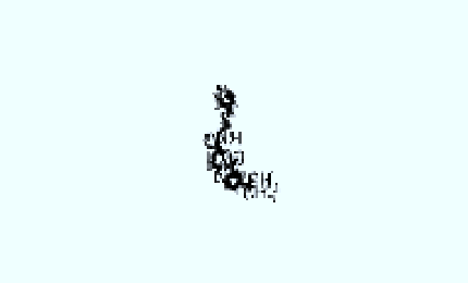 CC(C)c1ccc2nc3ccc(C(=O)NCCSCc4ccncc4)cn3c(=O)c2c1